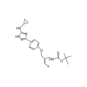 CC(C)(C)OC(=O)NC/C(=C\F)COc1ccc(-c2n[nH]c(NC3CC3)n2)cc1